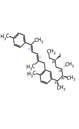 CC[C@@H](I)C[C@H](C)[C@@H](C)[C@@H](C)c1ccc(C)c(C/C(C)=C/C=C(\C)c2ccc(C)cc2)c1